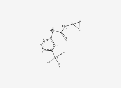 O=C(Nc1cccc(C(F)(F)F)c1)NC1CC1